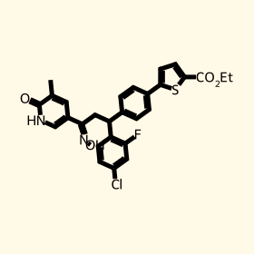 CCOC(=O)c1ccc(-c2ccc(C(C/C(=N\O)c3c[nH]c(=O)c(C)c3)c3ccc(Cl)cc3F)cc2)s1